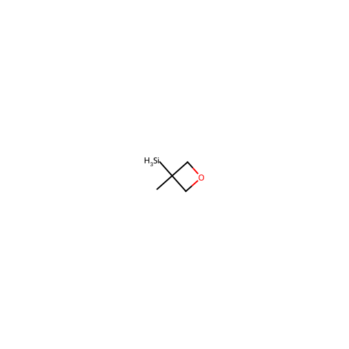 CC1([SiH3])COC1